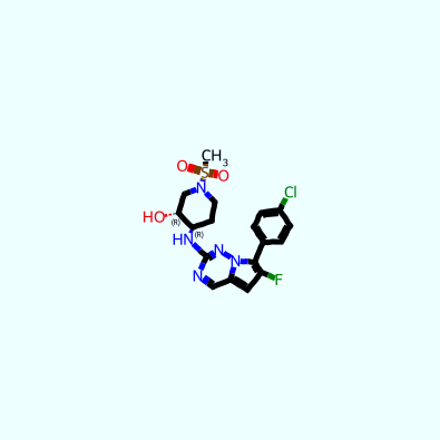 CS(=O)(=O)N1CC[C@@H](Nc2ncc3cc(F)c(-c4ccc(Cl)cc4)n3n2)[C@H](O)C1